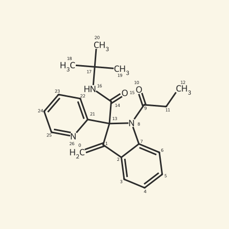 C=C1c2ccccc2N(C(=O)CC)C1(C(=O)NC(C)(C)C)c1ccccn1